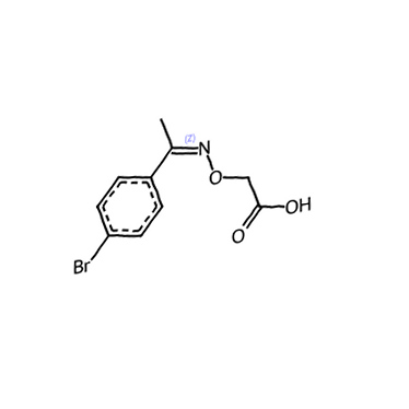 C/C(=N/OCC(=O)O)c1ccc(Br)cc1